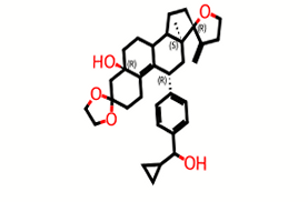 C=C1CCO[C@]12CCC1C3CC[C@@]4(O)CC5(CCC4=C3[C@@H](c3ccc(C(O)C4CC4)cc3)C[C@@]12C)OCCO5